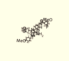 COc1ccc(Cn2cc3c(C4CCC5(CC4)OCCO5)nc(-c4ccc(CNC(=O)c5cc(F)ccc5OC)cc4)c(C(N)=O)c3n2)cc1